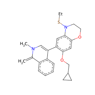 C=C1c2ccccc2C(c2cc3c(cc2OCC2CC2)OCCN3SCC)=CN1C